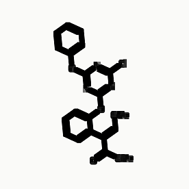 CO/C=C(/C(=O)OC)c1ccccc1Oc1nc(Cl)nc(Oc2ccccc2)n1